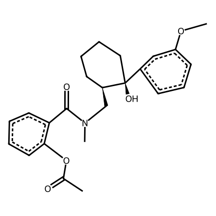 COc1cccc([C@@]2(O)CCCC[C@@H]2CN(C)C(=O)c2ccccc2OC(C)=O)c1